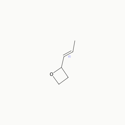 C/C=C/C1CCO1